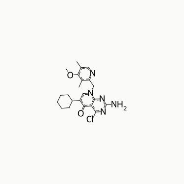 COc1c(C)cnc(Cn2cc(C3CCCCC3)c(=O)c3c(Cl)nc(N)nc32)c1C